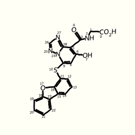 O=C(O)CNC(=O)c1c(O)cc(Sc2cccc3c2oc2ccccc23)n2ncnc12